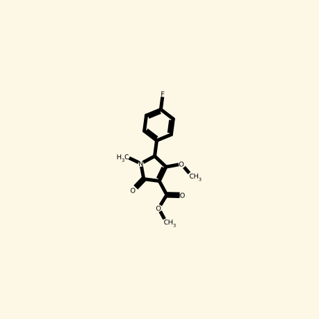 COC(=O)C1=C(OC)C(c2ccc(F)cc2)N(C)C1=O